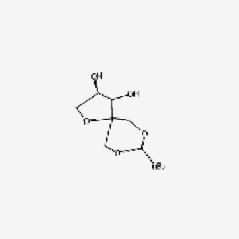 CCCCC1OCC2(CO1)OC[C@@H](O)C2O